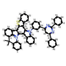 CC1(C)c2ccccc2-n2c3c1cccc3c1c3sc4ccccc4c3c3c(c4ccccc4n3-c3cccc(-c4cc(-c5ccccc5)nc(-c5ccccc5)n4)c3)c12